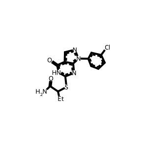 CCC(Sc1nc2c(cnn2-c2cccc(Cl)c2)c(=O)[nH]1)C(N)=O